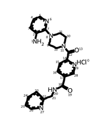 Cl.Nc1cccnc1N1CCN(C(=O)c2ccc(C(=O)NCc3ccccn3)cn2)CC1